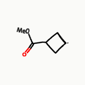 COC(=O)C1C[CH]C1